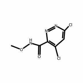 CONC(=O)c1nnc(Cl)cc1Cl